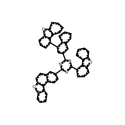 c1ccc2c(-c3cccc4oc5ccccc5c34)cc(-c3nc(-c4ccc5c(ccc6oc7ccccc7c65)c4)nc(-c4cccc5sc6ccccc6c45)n3)cc2c1